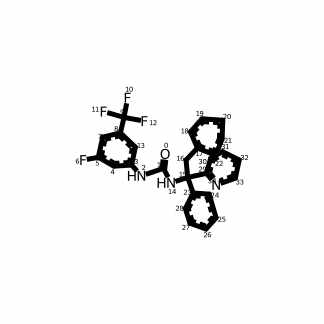 O=C(Nc1cc(F)cc(C(F)(F)F)c1)NC(Cc1ccccc1)(c1ccccc1)c1ccccn1